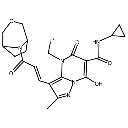 Cc1nn2c(O)c(C(=O)NC3CC3)c(=O)n(CC(C)C)c2c1C=CC(=O)N1C2CCC1COC2